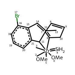 C[O][Zr]([CH3])([CH3])(=[SiH2])([O]C)([C]1=CC=CC1)[CH]1C(C)=Cc2c(Br)cccc21